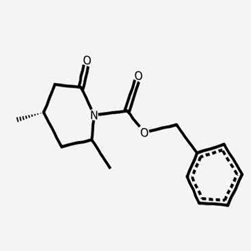 CC1C[C@H](C)CC(=O)N1C(=O)OCc1ccccc1